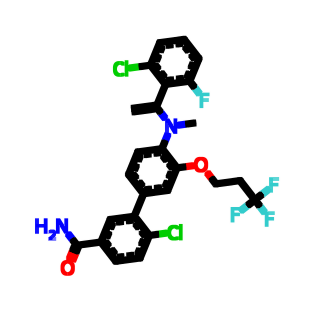 C=C(c1c(F)cccc1Cl)N(C)c1ccc(-c2cc(C(N)=O)ccc2Cl)cc1OCCC(F)(F)F